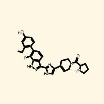 CCc1cc(O)ccc1-c1ccc2c(-c3nc(C4=CCN(C(=O)C5CCCN5)CC4)c[nH]3)n[nH]c2c1F